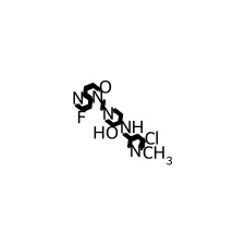 Cc1ncc(CN[C@H]2CCN(CCn3c(=O)ccc4ncc(F)cc43)C[C@H]2O)cc1Cl